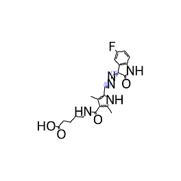 Cc1[nH]c(/C=N/N=C2\C(=O)Nc3ccc(F)cc32)c(C)c1C(=O)NCCCCC(=O)O